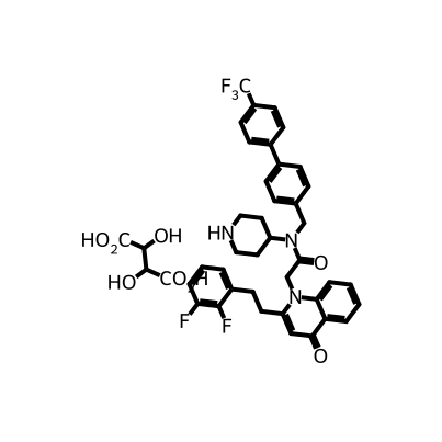 O=C(Cn1c(CCc2cccc(F)c2F)cc(=O)c2ccccc21)N(Cc1ccc(-c2ccc(C(F)(F)F)cc2)cc1)C1CCNCC1.O=C(O)C(O)C(O)C(=O)O